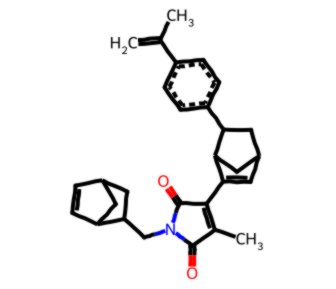 C=C(C)c1ccc(C2CC3C=C(C4=C(C)C(=O)N(CC5CC6C=CC5C6)C4=O)C2C3)cc1